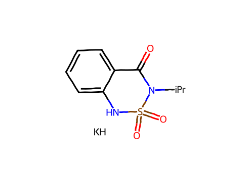 CC(C)N1C(=O)c2ccccc2NS1(=O)=O.[KH]